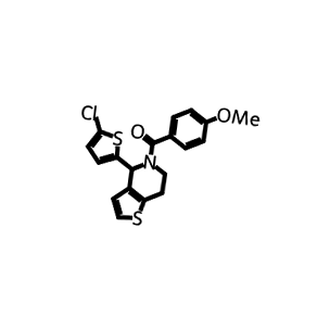 COc1ccc(C(=O)N2CCc3sccc3C2c2ccc(Cl)s2)cc1